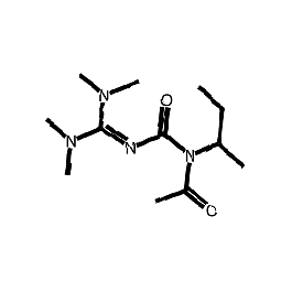 CCC(C)N(C(C)=O)C(=O)N=C(N(C)C)N(C)C